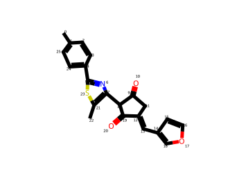 Cc1ccc(-c2nc(C3C(=O)C/C(=C\c4ccoc4)C3=O)c(C)s2)cc1